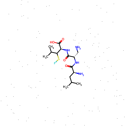 CC(C)C[C@H](N)C(=O)N[C@@H](CN)C(=O)N[C@H](C(=O)O)C(SF)C(C)C